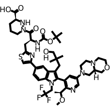 CO[C@@H](C)c1ncc(N2CCN3CCOC[C@@H]3C2)cc1-c1c(CC(C)(C)CO)c2cc(-c3csc(C[C@H](NC(=O)OC(C)(C)C)C(=O)N4CCC[C@@H](C(=O)O)N4)n3)ccc2n1CC(F)(F)F